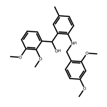 COc1ccc(CNc2ccc(C)cc2C(O)c2cccc(OC)c2OC)c(OC)c1